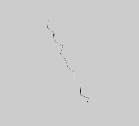 [CH2]C/C=[C]/CCCCCCCCCC